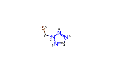 [S]Cn1ncnn1